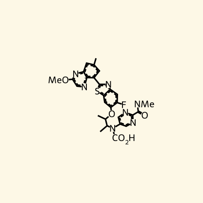 CNC(=O)c1ncc(N(C(=O)O)C(C)C(C)Oc2cc3sc(-c4cc(C)cc5nc(OC)cnc45)nc3cc2F)cn1